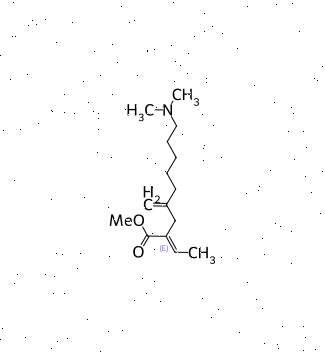 C=C(CCCCCN(C)C)C/C(=C\C)C(=O)OC